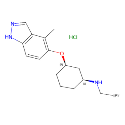 Cc1c(O[C@@H]2CCC[C@H](NCC(C)C)C2)ccc2[nH]ncc12.Cl